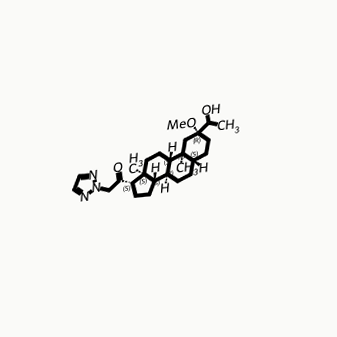 CO[C@]1(C(C)O)CC[C@@H]2CC[C@@H]3[C@H](CC[C@]4(C)[C@@H](C(=O)Cn5nccn5)CC[C@@H]34)[C@@]2(C)C1